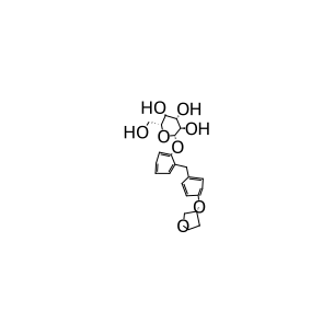 OC[C@H]1O[C@@H](Oc2ccccc2Cc2ccc(O[C@@H]3CCOC3)cc2)[C@H](O)[C@@H](O)[C@@H]1O